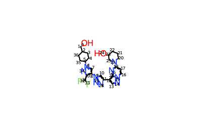 OCC1CCC(n2cc(-n3cc(-c4cnn5ccc(N6CCC[C@@H](O)C6)nc45)nn3)c(C(F)F)n2)CC1